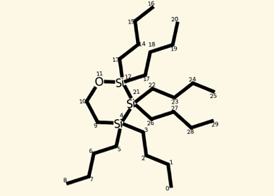 CCCC[Si]1(CCCC)CCO[Si](CCCC)(CCCC)[Si]1(CCCC)CCCC